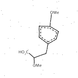 COc1ccc(CC(OC)C(=O)O)cc1